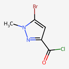 Cn1nc(C(=O)Cl)cc1Br